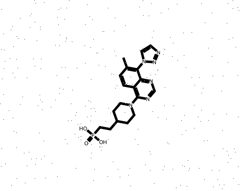 Cc1ccc2c(N3CCC(CCP(=O)(O)O)CC3)ncnc2c1-n1ccnn1